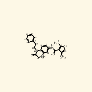 Cc1noc(C)c1C(=O)Nc1ccc2c(c1)NCC(=O)N2CCc1ccccn1